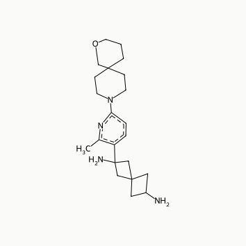 Cc1nc(N2CCC3(CCCOC3)CC2)ccc1C1(N)CC2(CC(N)C2)C1